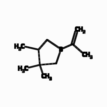 C=C(C)B1CC(C)C(C)(C)C1